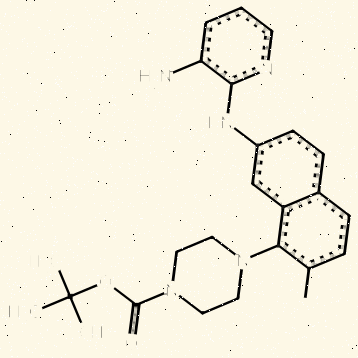 CC(C)(C)OC(=O)N1CCN(c2c(I)ccc3ccc(Nc4ncccc4N)cc23)CC1